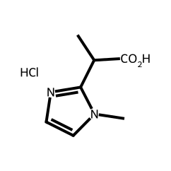 CC(C(=O)O)c1nccn1C.Cl